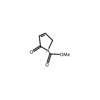 COC(=O)N1CC=CC1=O